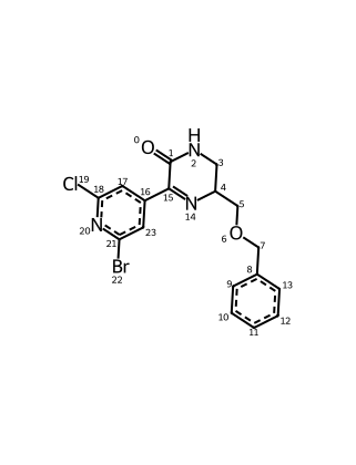 O=C1NCC(COCc2ccccc2)N=C1c1cc(Cl)nc(Br)c1